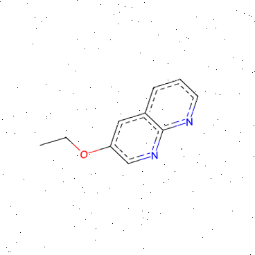 CCOc1cnc2ncccc2c1